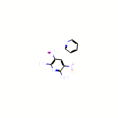 Nc1nc(N)c([N+](=O)[O-])cc1[N+](=O)[O-].c1ccncc1